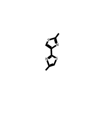 Cc1csc(-c2csc(C)n2)n1